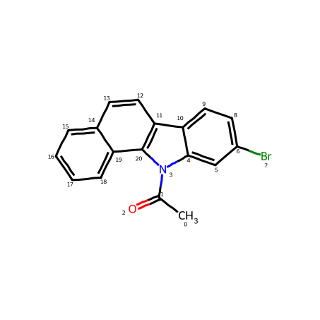 CC(=O)n1c2cc(Br)ccc2c2ccc3ccccc3c21